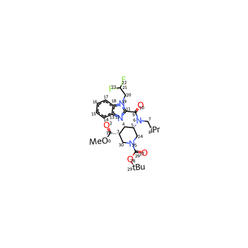 COC(=O)[C@@H]1C[C@H](N(CC(C)C)C(=O)c2nc3ccccc3n2CC(F)F)CN(C(=O)OC(C)(C)C)C1